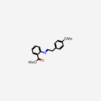 COC(=O)c1ccccc1N=CCc1ccc(OC)cc1